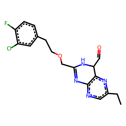 CCc1cnc2c(n1)C(C=O)NC(COCCc1ccc(F)c(Cl)c1)=N2